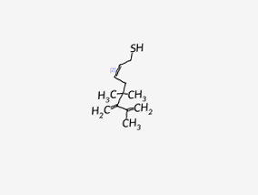 C=C(C)C(=C)C(C)(C)C/C=C\CS